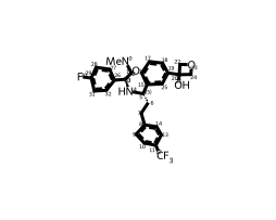 CNC(=O)[C@@H](N[C@@H](CCc1ccc(C(F)(F)F)cc1)c1cccc(C2(O)COC2)c1)c1ccc(F)cc1